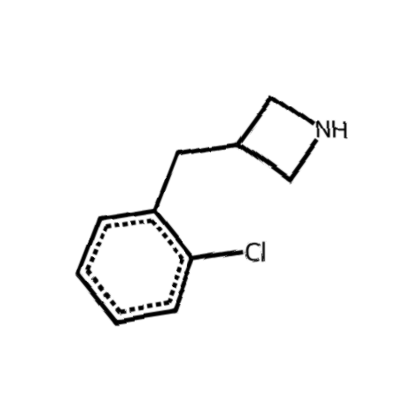 Clc1ccccc1CC1CNC1